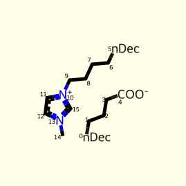 CCCCCCCCCCCCCC(=O)[O-].CCCCCCCCCCCCCC[n+]1ccn(C)c1